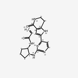 C=CC(=O)N[C@@H]1CCC[C@@H]1Nc1nccc(-c2cc3c([nH]2)CCNC3=O)n1